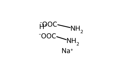 NC(=O)[O-].NC(=O)[O-].[H+].[Na+]